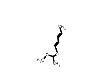 CC=CC=COC(C)OC